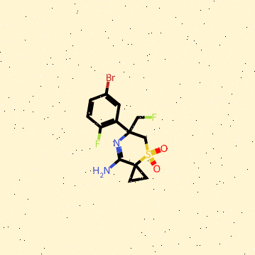 NC1=NC(CF)(c2cc(Br)ccc2F)CS(=O)(=O)C12CC2